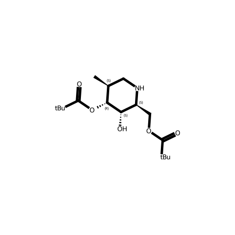 C[C@H]1CN[C@@H](COC(=O)C(C)(C)C)[C@H](O)[C@@H]1OC(=O)C(C)(C)C